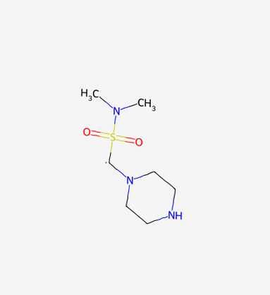 CN(C)S(=O)(=O)[CH]N1CCNCC1